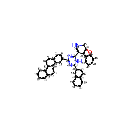 C1=C(C2=NC(c3ccc4ccc5c6ccccc6ccc5c4c3)=NC(c3ccc4ccccc4c3)N2)c2c(oc3ccccc23)CN1